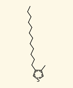 CCCCCCCCCCCCc1cscc1C